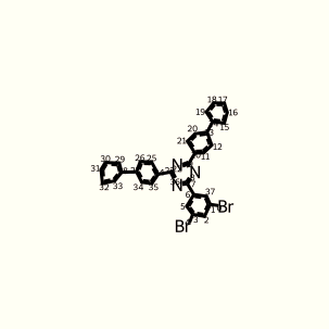 Brc1cc(Br)cc(-c2nc(-c3ccc(-c4ccccc4)cc3)nc(-c3ccc(-c4ccccc4)cc3)n2)c1